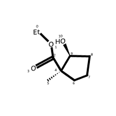 CCOC(=O)[C@]1(C)CCC[C@@H]1O